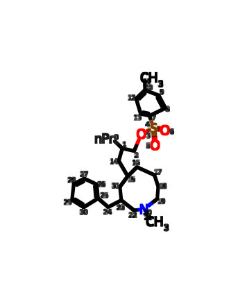 CCCC(COS(=O)(=O)c1ccc(C)cc1)CC1CCCCN(C)CC(Cc2ccccc2)C1